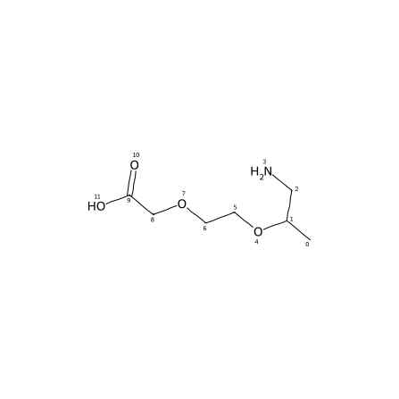 CC(CN)OCCOCC(=O)O